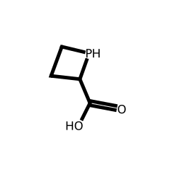 O=C(O)C1CCP1